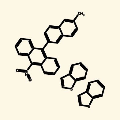 Cc1ccc2cc(-c3c4ccccc4c([SH](=O)=O)c4ccccc34)ccc2c1.c1ccc2sccc2c1.c1ccc2sccc2c1